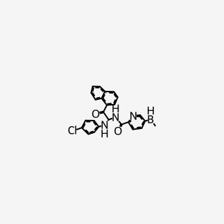 CBc1ccc(C(=O)NC(Nc2ccc(Cl)cc2)C(=O)c2cccc3ccccc23)nc1